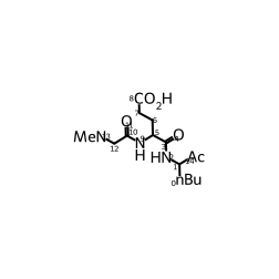 CCCCC(NC(=O)C(CCC(=O)O)NC(=O)CNC)C(C)=O